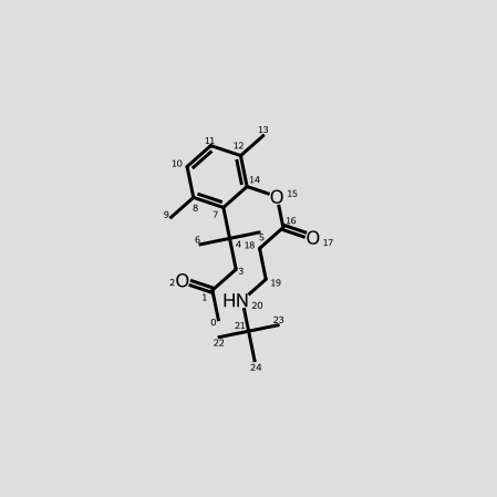 CC(=O)CC(C)(C)c1c(C)ccc(C)c1OC(=O)CCNC(C)(C)C